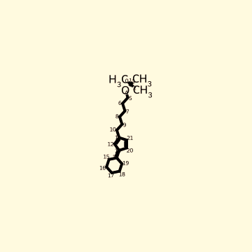 CC(C)(C)OCCCCCCC1=CC(=C2CCCCC2)C=C1